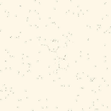 Cl.Cl.Cl.NCc1cncc(N2C[C@@H]3C[C@H]2CN3)c1